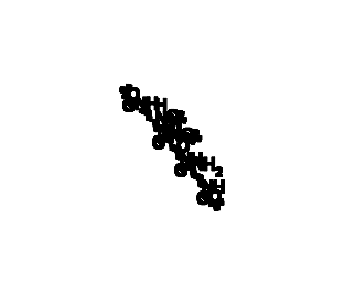 CC(C)(C)OC(=O)NCCC[C@@H](CNC(=O)[C@H](CCCNC(=O)[C@H](N)CCCNC(=O)OC(C)(C)C)NC(=O)OC(C)(C)C)NC(=O)OC(C)(C)C